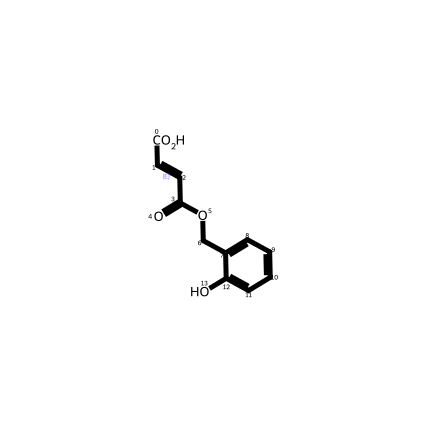 O=C(O)/C=C/C(=O)OCc1ccccc1O